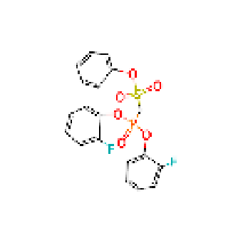 O=P(CS(=O)(=O)Oc1ccccc1)(Oc1ccccc1F)Oc1ccccc1F